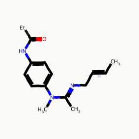 C/C=C/CN=C(C)N(C)c1ccc(NC(=O)CC)cc1